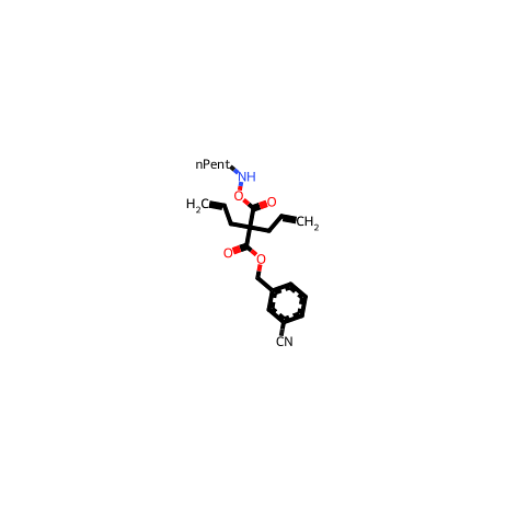 C=CCC(CC=C)(C(=O)OCc1cccc(C#N)c1)C(=O)ONCCCCC